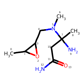 CC1OC1CN(C)C(C)(N)CC(N)=O